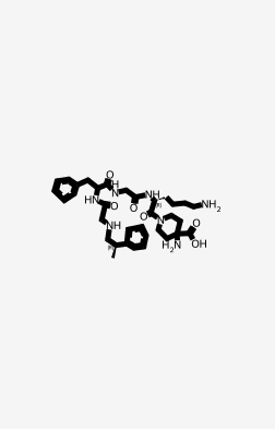 C[C@@H](CNCC(=O)NC(Cc1ccccc1)C(=O)NCC(=O)N[C@H](CCCCN)C(=O)N1CCC(N)(C(=O)O)CC1)c1ccccc1